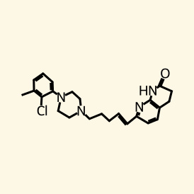 Cc1cccc(N2CCN(CCCC=Cc3ccc4c(n3)NC(=O)CC4)CC2)c1Cl